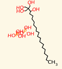 CCCCCCCCCCCCCCCCCCC(O)C(CO)(CO)CO.OP(O)O.OP(O)O